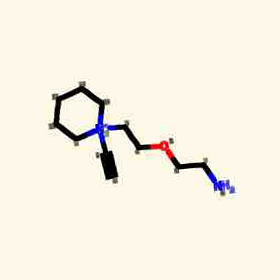 C#C[N+]1(CCOCCN)CCCCC1